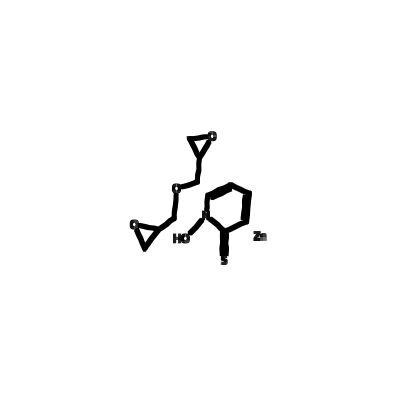 C(OCC1CO1)C1CO1.On1ccccc1=S.[Zn]